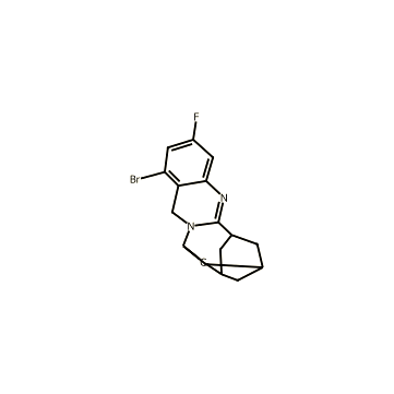 Fc1cc(Br)c2c(c1)N=C1C3CC4CC(C3)CC(C4)N1C2